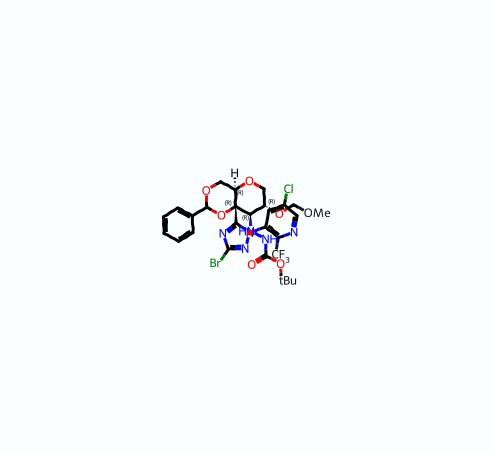 COCO[C@H]1CO[C@@H]2COC(c3ccccc3)O[C@@]2(c2nc(Br)nn2-c2cc(Cl)cnc2C(F)(F)F)[C@@H]1NNC(=O)OC(C)(C)C